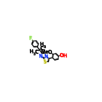 COc1cc(O)ccc1-c1csc2nc(C(C)(C)c3ccc(F)cc3)cn12